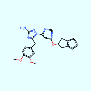 COc1ccc(Cc2nc(N)nn2-c2cc(OC3Cc4ccccc4C3)ncn2)cc1OC